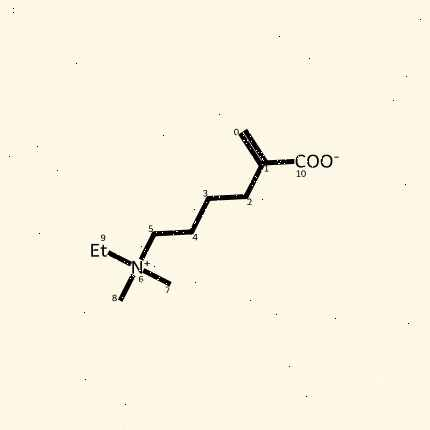 C=C(CCCC[N+](C)(C)CC)C(=O)[O-]